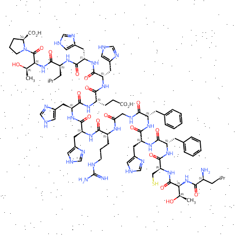 CC(C)C[C@H](NC(=O)[C@H](Cc1c[nH]cn1)NC(=O)[C@H](Cc1c[nH]cn1)NC(=O)[C@H](CCC(=O)O)NC(=O)[C@H](Cc1c[nH]cn1)NC(=O)[C@H](Cc1c[nH]cn1)NC(=O)[C@H](CCCNC(=N)N)NC(=O)CNC(=O)[C@H](Cc1ccccc1)NC(=O)[C@H](Cc1c[nH]cn1)NC(=O)[C@H](Cc1ccccc1)NC(=O)[C@H](CS)NC(=O)[C@@H](NC(=O)[C@@H](N)CC(C)C)[C@@H](C)O)C(=O)N[C@H](C(=O)N1CCC[C@H]1C(=O)O)[C@@H](C)O